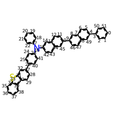 c1ccc(-c2ccc3cc(-c4ccc5cc(N(c6ccccc6)c6ccc(-c7ccc8c(c7)sc7ccccc78)cc6)ccc5c4)ccc3c2)cc1